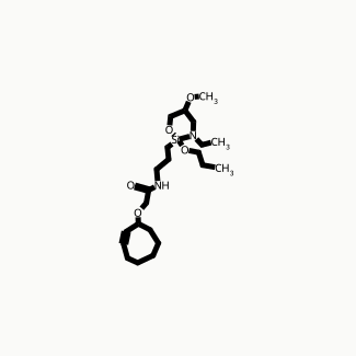 CCCO[Si]1(CCCNC(=O)COC2C#CCCCCC2)OCC(OC)CN1CC